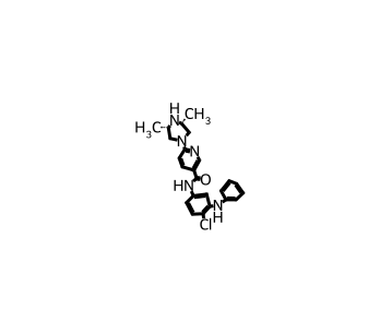 C[C@@H]1CN(c2ccc(C(=O)Nc3ccc(Cl)c(Nc4ccccc4)c3)cn2)C[C@H](C)N1